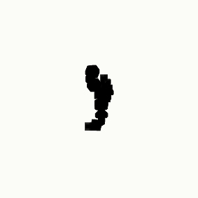 Nc1ncnc2c1c(-c1ccc(Oc3ccccc3)cc1)nn2[C@H]1CCN(C2CN(CC3CNC3)C2)C[C@H]1F